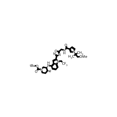 COCC(C)(C)n1ccc(C(=O)NCc2nc(-c3cc4c(N[C@@H]5CN(C(=O)OC(C)(C)C)CC[C@@H]5F)cccc4n3CC(F)(F)F)no2)c1